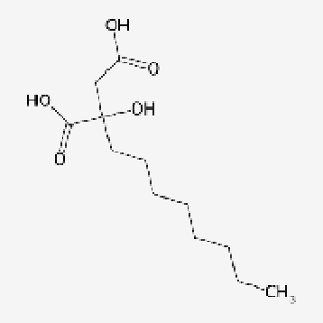 CCCCCCCCC(O)(CC(=O)O)C(=O)O